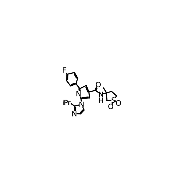 CC(C)c1nccn1-c1cc(C(=O)NC2(C)CCS(=O)(=O)C2)cc(-c2ccc(F)cc2)n1